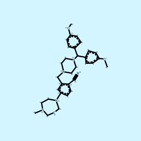 COc1ccc(C(c2ccc(OC)cc2)N2CCN(Cc3cc(N4CCCN(C)CC4)ccc3C#N)CC2)cc1